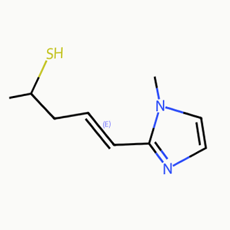 CC(S)C/C=C/c1nccn1C